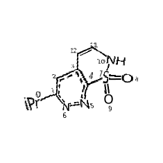 CC(C)c1cc2c(nn1)S(=O)(=O)NC=C2